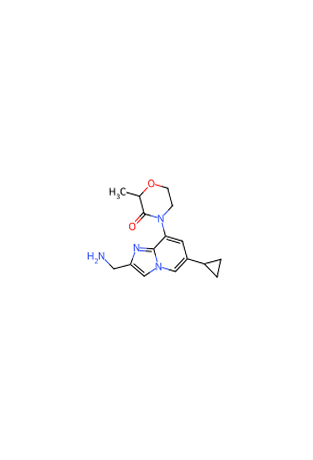 CC1OCCN(c2cc(C3CC3)cn3cc(CN)nc23)C1=O